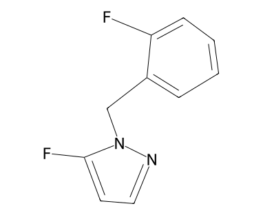 Fc1ccccc1Cn1nccc1F